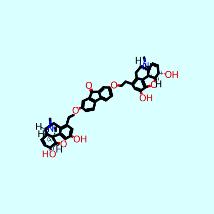 CN1CC[C@]23c4c5c(CCOc6ccc7c(c6)C(=O)c6cc(OCCc8cc(O)c9c%10c8C[C@@H]8[C@@H]%11C=C[C@H](O)[C@H](O9)[C@]%10%11CCN8C)ccc6-7)cc(O)c4O[C@H]2[C@@H](O)C=C[C@H]3[C@H]1C5